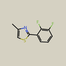 Cc1csc(-c2cccc(F)c2F)n1